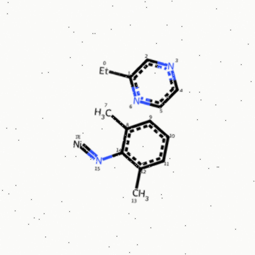 CCc1cnccn1.Cc1cccc(C)c1[N]=[Ni]